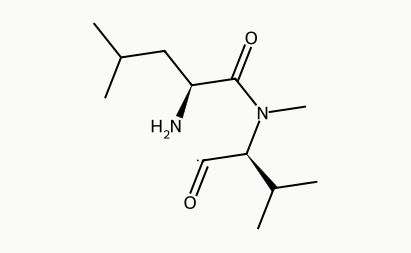 CC(C)C[C@H](N)C(=O)N(C)[C@H]([C]=O)C(C)C